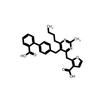 CCCCc1nc(C)nc(Cc2occc2C(=O)O)c1Cc1ccc(-c2ccccc2C(=O)O)cc1